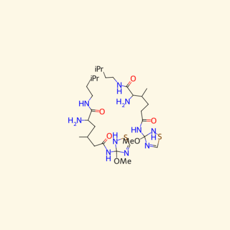 COC1(NC(=O)CC(C)CC(N)C(=O)NCCC(C)C)N=CSN1.COC1(NC(=O)CCC(C)C(N)C(=O)NCCC(C)C)N=CSN1